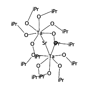 CC(C)[O][Ta]([O]C(C)C)([O]C(C)C)([O]C(C)C)([O]C(C)C)([O]C(C)C)[Sr][Ta]([O]C(C)C)([O]C(C)C)([O]C(C)C)([O]C(C)C)([O]C(C)C)[O]C(C)C